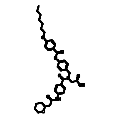 CCCCCCCOc1ccc(C(=O)Oc2ccc(CN(CC(=O)O)C(=O)c3ccc(NC(=O)CC4CCCCO4)cc3)cc2)cc1